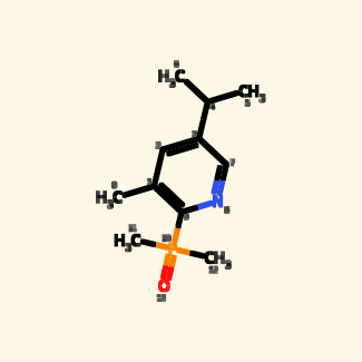 Cc1cc(C(C)C)cnc1P(C)(C)=O